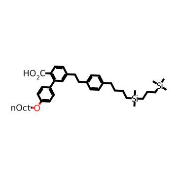 CCCCCCCCOc1ccc(-c2cc(CCc3ccc(CCCC[Si](C)(C)CCC[Si](C)(C)C)cc3)ccc2C(=O)O)cc1